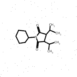 CC(C)C1C(=O)N(C2CCCCC2)C(=O)C1C(C)C